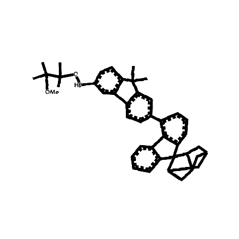 COC(C)(C)C(C)(C)OBc1ccc2c(c1)-c1ccc(-c3cccc4c3-c3ccccc3C43C4CC5CC(C4)C3C5)cc1C2(C)C